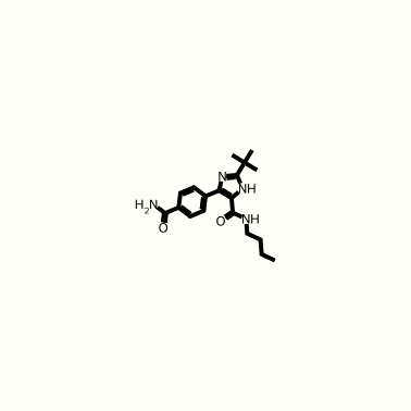 CCCCNC(=O)c1[nH]c(C(C)(C)C)nc1-c1ccc(C(N)=O)cc1